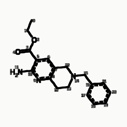 CCOC(=O)c1cc2c(nc1N)CCN(Cc1ccccc1)C2